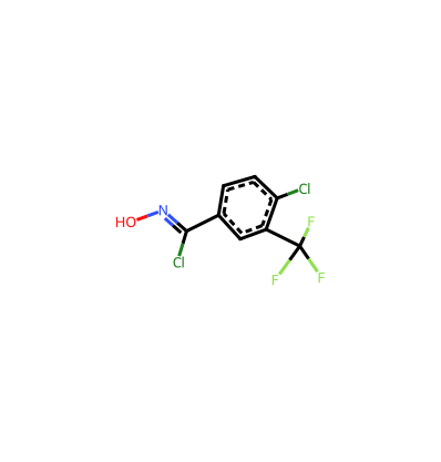 ON=C(Cl)c1ccc(Cl)c(C(F)(F)F)c1